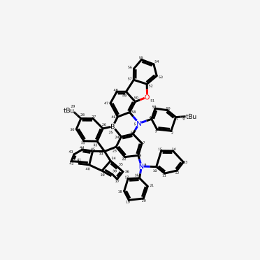 CC(C)(C)c1ccc(N2c3cc(N(c4ccccc4)c4ccccc4)cc4c3B(c3cc(C(C)(C)C)ccc3C43c4ccccc4-c4ccccc43)c3ccc4c(oc5ccccc54)c32)cc1